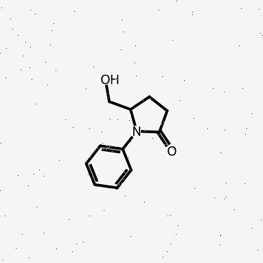 O=C1CCC(CO)N1c1ccccc1